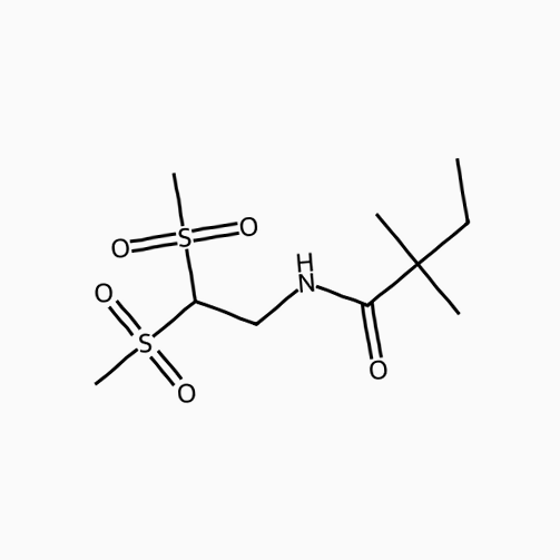 CCC(C)(C)C(=O)NCC(S(C)(=O)=O)S(C)(=O)=O